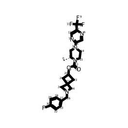 C[C@@H]1CN(c2cnc(C(F)(F)F)cn2)CCN1C(=O)OC1CC2(C1)CN(Cc1ccc(F)cc1)C2